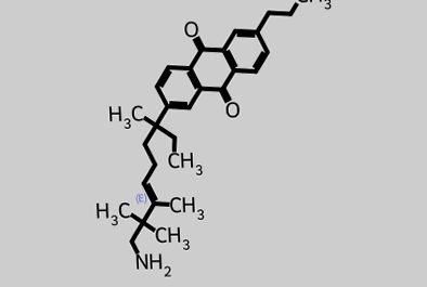 CCCc1ccc2c(c1)C(=O)c1ccc(C(C)(CC)CC/C=C(\C)C(C)(C)CN)cc1C2=O